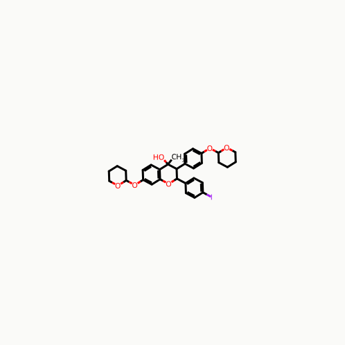 CC1(O)c2ccc(OC3CCCCO3)cc2OC(c2ccc(I)cc2)C1c1ccc(OC2CCCCO2)cc1